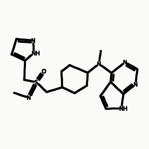 CN=S(=O)(Cc1ccn[nH]1)CC1CCC(N(C)c2ncnc3[nH]ccc23)CC1